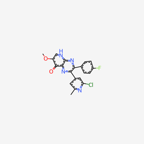 COc1c[nH]c2nc(-c3ccc(F)cc3)c(-c3cc(C)nc(Cl)c3)nc2c1=O